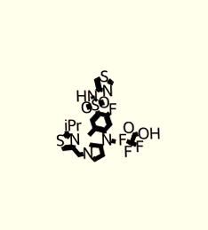 Cc1cc(S(=O)(=O)Nc2cscn2)c(F)cc1N(C)[C@H]1CCN(Cc2csc(C(C)C)n2)C1.O=C(O)C(F)(F)F